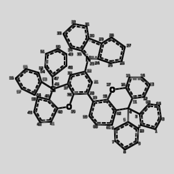 c1ccc(C2(c3ccccc3)c3ccccc3Oc3c(-c4cc(-n5c6ccccc6c6ccccc65)cc5c4Oc4ccccc4[Si]5(c4ccccc4)c4ccccc4)cccc32)cc1